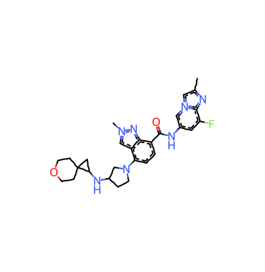 Cc1cn2cc(NC(=O)c3ccc(N4CCC(NC5CC56CCOCC6)C4)c4cn(C)nc34)cc(F)c2n1